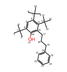 CC(C)(C)c1cc(C(C)(C)C)c(C(C)(C)C)c(CCCc2ccccc2)c1O